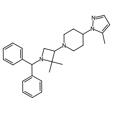 Cc1ccnn1C1CCN(C2CN(C(c3ccccc3)c3ccccc3)C2(C)C)CC1